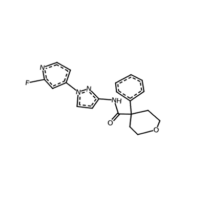 O=C(Nc1ccn(-c2ccnc(F)c2)n1)C1(c2ccccc2)CCOCC1